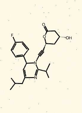 CC(C)CC1=CC(c2ccc(F)cc2)N(C#C[C@@H]2C[C@@H](O)CC(=O)O2)C(C(C)C)=N1